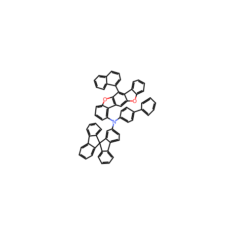 c1ccc(-c2ccc(N(c3ccc4c(c3)C3(c5ccccc5-c5ccccc53)c3ccccc3-4)c3cccc4oc5c(-c6cccc7ccccc67)c6c(cc5c34)oc3ccccc36)cc2)cc1